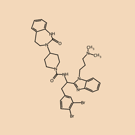 CN(C)CCCn1c(C(Cc2ccc(Br)c(Br)c2)NC(=O)N2CCC(N3CCc4ccccc4NC3=O)CC2)nc2ccccc21